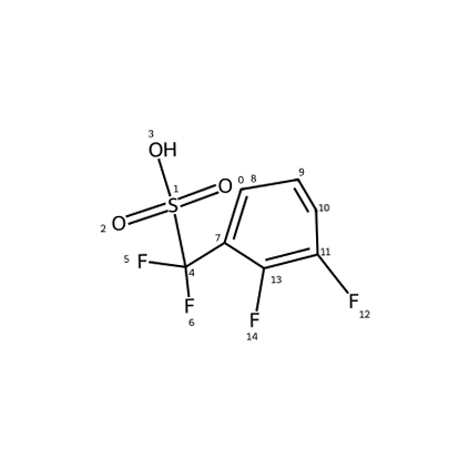 O=S(=O)(O)C(F)(F)c1cccc(F)c1F